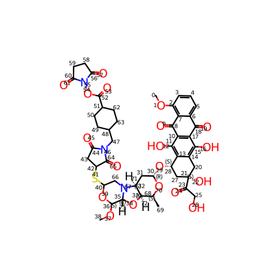 COc1cccc2c1C(=O)c1c(O)c3c(c(O)c1C2=O)C[C@@](O)(C(=O)CO)C[C@@H]3O[C@H]1C[C@H]2[C@H](O[C@@H]3[C@@H](OC)OC(SC4CC(=O)N(CC5CCC(C(=O)ON6C(=O)CCC6=O)CC5)C4=O)CN32)[C@H](C)O1